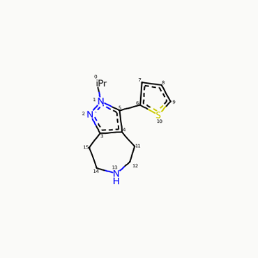 CC(C)n1nc2c(c1-c1cccs1)CCNCC2